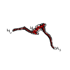 C=C=C=C=C=C=C=C=C=C=C=C=C=C=C=C=C=C=C=C=C=C=C=C=C=C=C=C=C=C=C=C=C=C=C=C(N1C(=O)C=CC1=O)N1C(=O)c2ccc(Oc3ccc(C(C)(C)c4ccc(Oc5ccc6c(c5)C(=O)N(C(=C=C=C=C=C=C=C=C=C=C=C=C=C=C=C=C=C=C=C=C=C=C=C=C=C=C=C=C=C=C=C=C=C=C=C)N5C(=O)C=CC5=O)C6=O)cc4)cc3)cc2C1=O